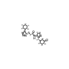 O=C(CSc1nnnn1-c1ccccc1)Nc1ccnn1Cc1cccc(Cl)c1